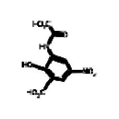 O=C(O)C(=O)Nc1cc([N+](=O)[O-])cc(C(=O)O)c1O